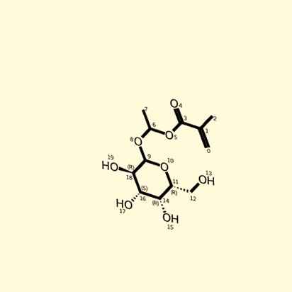 C=C(C)C(=O)OC(C)OC1O[C@H](CO)[C@H](O)[C@H](O)[C@H]1O